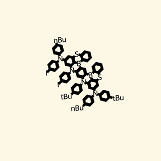 CCCCc1ccc(N(c2ccc(I)cc2)c2cc3c4c(c2)N(c2ccc(I)cc2)c2cc5c(cc2B4c2ccccc2S3)B2c3ccccc3Sc3cc(N(c4ccc(CCCC)cc4)c4ccc(C(C)(C)C)cc4)cc(c32)N5c2ccc(C(C)(C)C)cc2)cc1